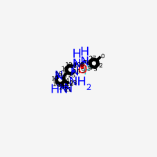 Cc1ccc(F)c(NC(=O)Nc2ccc(-c3nccc4[nH]nc(N)c34)cn2)c1